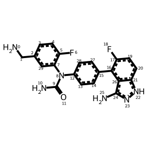 NCc1ccc(F)c(N(C(N)=O)c2ccc(-c3c(F)ccc4[nH]nc(N)c34)cc2)c1